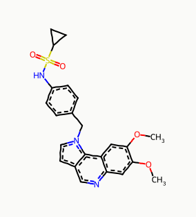 COc1cc2ncc3ccn(Cc4ccc(NS(=O)(=O)C5CC5)cc4)c3c2cc1OC